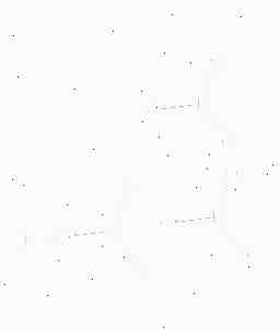 [In+3].[O-][I+2]([O-])[O-].[O-][I+2]([O-])[O-].[O-][I+2]([O-])[O-]